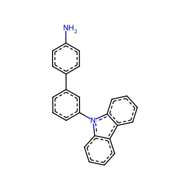 Nc1ccc(-c2cccc(-n3c4ccccc4c4ccccc43)c2)cc1